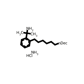 CCCCCCCCCCCCCCCCc1ccccc1C(C)(C)N.Cl.N